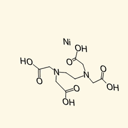 O=C(O)CN(CCN(CC(=O)O)CC(=O)O)CC(=O)O.[Ni]